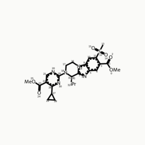 COC(=O)c1cc2nc3n(c2cc1S(C)(=O)=O)CCN(c1ncc(C(=O)OC)c(C2CC2)n1)[C@@H]3C(C)C